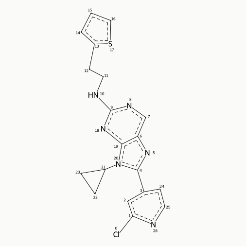 Clc1cc(-c2nc3cnc(NCCc4cccs4)nc3n2C2CC2)ccn1